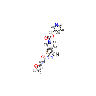 N#Cc1c(NC(=O)/C=C/c2ccco2)sc2c1CCN(C(=O)OCc1cccnc1)C2